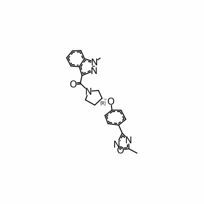 Cc1nc(-c2ccc(O[C@@H]3CCN(C(=O)c4nn(C)c5ccccc45)C3)cc2)no1